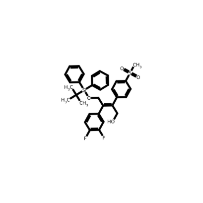 CC(C)(C)[Si](OCC(=C(CO)c1ccc(S(C)(=O)=O)cc1)c1ccc(F)c(F)c1)(c1ccccc1)c1ccccc1